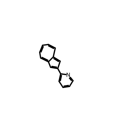 c1ccc2cc(-c3ccccn3)cc-2cc1